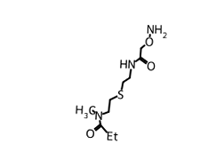 CCC(=O)N(C)CCSCCNC(=O)CON